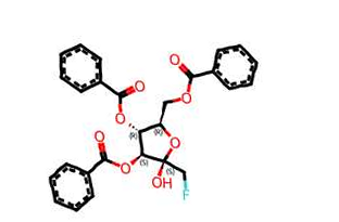 O=C(OC[C@H]1O[C@](O)(CF)[C@@H](OC(=O)c2ccccc2)[C@@H]1OC(=O)c1ccccc1)c1ccccc1